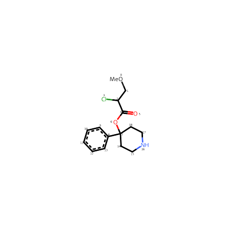 COCC(Cl)C(=O)OC1(c2ccccc2)CCNCC1